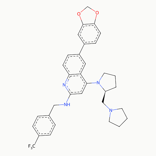 FC(F)(F)c1ccc(CNc2cc(N3CCC[C@H]3CN3CCCC3)c3cc(-c4ccc5c(c4)OCO5)ccc3n2)cc1